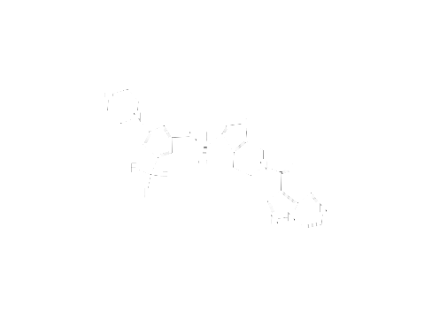 O=C(Nc1cc(N2CCOCC2)cc(C(F)(F)F)c1)c1csc2c1CCN(C(=O)c1cnn3ccncc13)C2